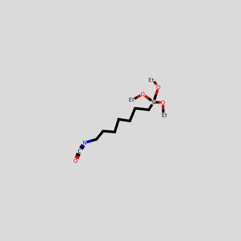 CCO[Si](CCCCCCCN=C=O)(OCC)OCC